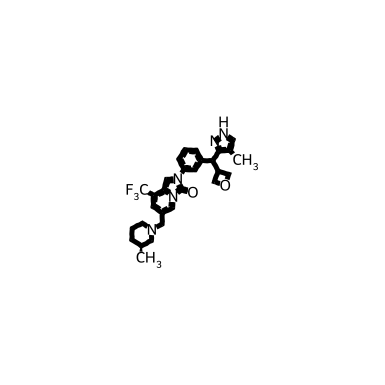 Cc1c[nH]nc1C(c1cccc(-n2cc3c(C(F)(F)F)cc(CN4CCC[C@H](C)C4)cn3c2=O)c1)C1COC1